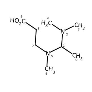 CC(N(C)C)N(C)CCC(=O)O